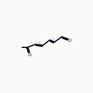 CC(=O)/C=C/C=C/C=O